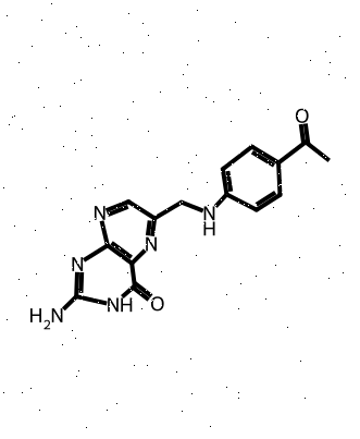 CC(=O)c1ccc(NCc2cnc3nc(N)[nH]c(=O)c3n2)cc1